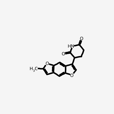 Cc1cc2cc3occ(C4CCC(=O)NC4=O)c3cc2o1